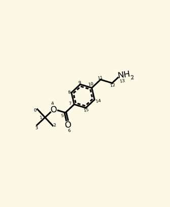 CC(C)(C)OC(=O)c1ccc(CCN)cc1